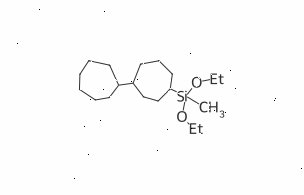 CCO[Si](C)(OCC)C1CCCC(C2CCCCCC2)CC1